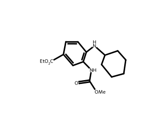 CCOC(=O)c1ccc(NC2CCCCC2)c(NC(=O)OC)c1